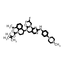 COc1cccc2c1N(C(=O)OC(C)(C)C)CCC2N1Cc2cnc(Nc3ccc(N4CCN(C)CC4)cc3)nc2N(CC(F)F)C1=O